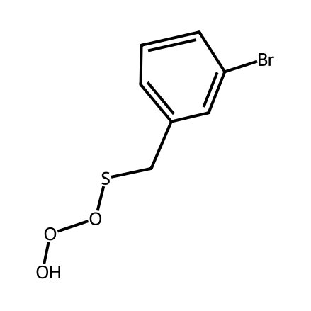 OOOSCc1cccc(Br)c1